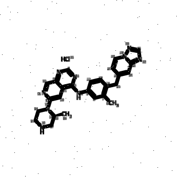 Cc1cc(Nc2ncnc3cnc(N4CCNC[C@@H]4C)cc23)ccc1Cc1ccn2ncnc2c1.Cl